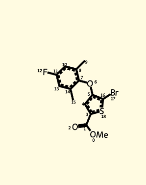 COC(=O)c1cc(Oc2c(C)cc(F)cc2C)c(Br)s1